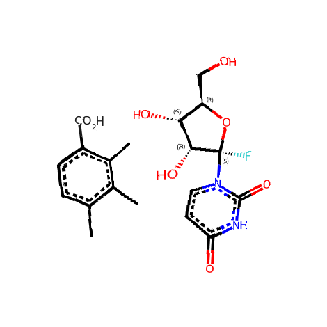 Cc1ccc(C(=O)O)c(C)c1C.O=c1ccn([C@]2(F)O[C@H](CO)[C@@H](O)[C@H]2O)c(=O)[nH]1